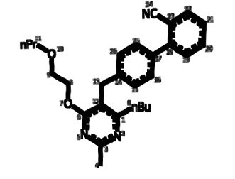 CCCCc1nc(C)nc(OCCOCCC)c1Cc1ccc(-c2ccccc2C#N)cc1